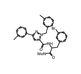 CNC(=O)C(Cc1cccc(Br)c1)NC(=O)c1cc(-c2cccc(C)c2)nn1Cc1cccc(C)c1